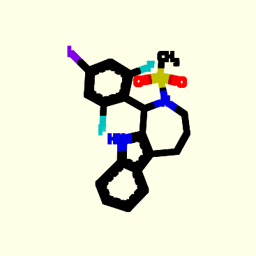 CS(=O)(=O)N1CCCc2c([nH]c3ccccc23)C1c1c(F)cc(I)cc1F